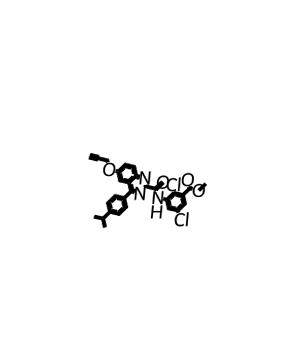 C#CCOc1ccc2nc(C(=O)Nc3cc(Cl)cc(C(=O)OC)c3Cl)nc(-c3ccc(C(C)C)cc3)c2c1